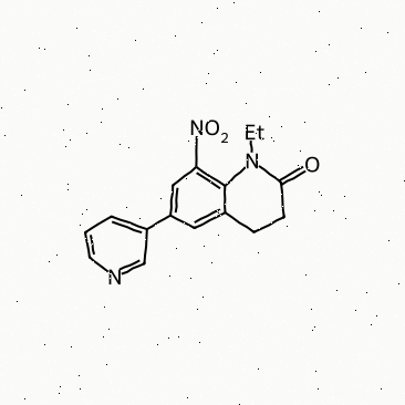 CCN1C(=O)CCc2cc(-c3cccnc3)cc([N+](=O)[O-])c21